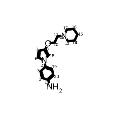 Nc1ccc(-n2ccc(OCCN3CCCCC3)c2)cc1